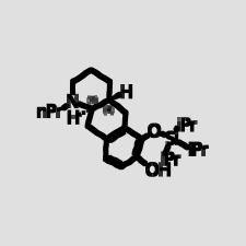 CCCN1CCC[C@@H]2Cc3c(ccc(O)c3O[Si](C(C)C)(C(C)C)C(C)C)C[C@H]21